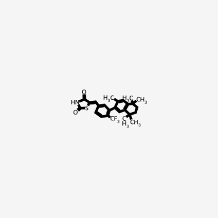 Cc1cc2c(cc1-c1cc(/C=C3\SC(=O)NC3=O)ccc1C(F)(F)F)C(C)(C)CCC2(C)C